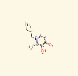 CCCCn1ccc(=O)c(O)c1C